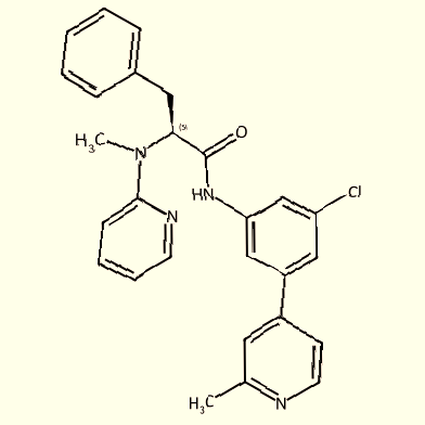 Cc1cc(-c2cc(Cl)cc(NC(=O)[C@H](Cc3ccccc3)N(C)c3ccccn3)c2)ccn1